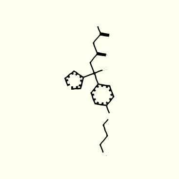 NC(CC(=O)CC(=O)O)(c1ccc(OCCCO)cc1)c1ccsc1